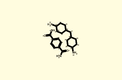 NC(=O)c1ccc(C(N)=O)cc1.NC1CCC(CC2CCC(N)CC2)CC1